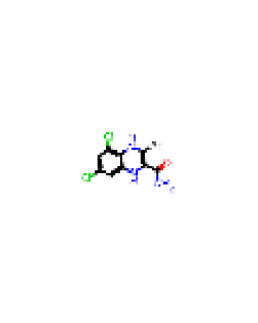 CC(=O)C1=C(C(N)=O)Nc2cc(Cl)cc(Cl)c2N1